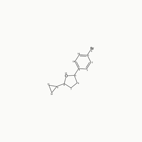 Brc1ccc(C2CCC(C3CC3)O2)cc1